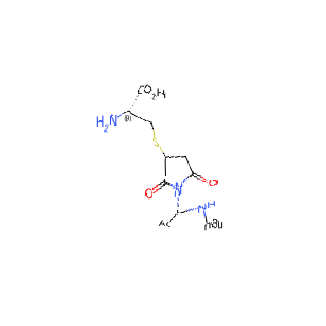 CCCCNC(C(C)=O)N1C(=O)CC(SC[C@H](N)C(=O)O)C1=O